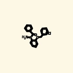 Cl.NN(C(=O)c1ccccc1)c1ccccc1OCc1ccccc1